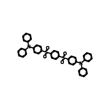 O=S(=O)(c1ccc(N(c2ccccc2)c2ccccc2)cc1)c1ccc(S(=O)(=O)c2ccc(N(c3ccccc3)c3ccccc3)cc2)cc1